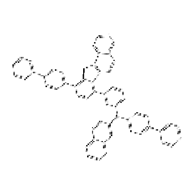 c1ccc(-c2ccc(-c3ccc(-c4cccc(N(c5ccc(-c6ccccc6)cc5)c5ccc6ccccc6c5)c4)c4c3Cc3c-4ccc4ccccc34)cc2)cc1